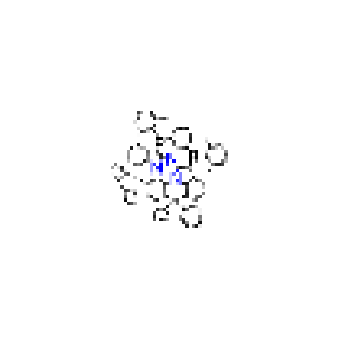 Cc1cccc(C)c1B1c2cccc3c2-n2c4c1c1cccc5c1n4c1c(ccc4c1n1c6c(cccc6c(c21)B3c1c(C)cccc1C)C41c2ccccc2-c2ccccc21)C51c2ccccc2-c2ccccc21